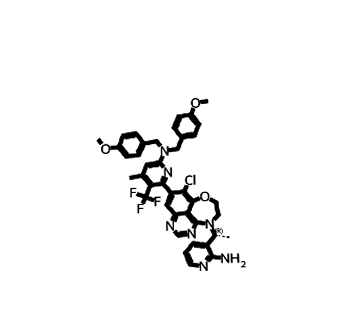 COc1ccc(CN(Cc2ccc(OC)cc2)c2cc(C)c(C(F)(F)F)c(-c3cc4ncnc5c4c(c3Cl)OCCN5[C@H](C)c3cccnc3N)n2)cc1